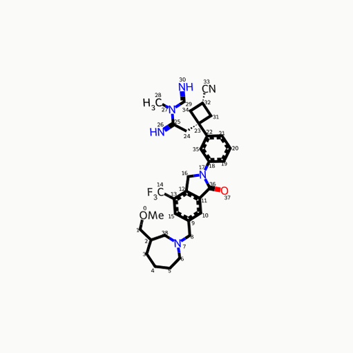 COCC1CCCCN(Cc2cc3c(c(C(F)(F)F)c2)CN(c2cccc([C@]4(CC(=N)N(C)C=N)C[C@@H](C#N)C4)c2)C3=O)C1